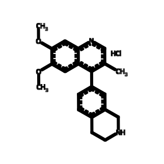 COc1cc2ncc(C)c(-c3ccc4c(c3)CNCC4)c2cc1OC.Cl